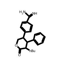 CCCCC1C(=O)OCC(c2ccc(C(=N)N)cc2)C1c1ccccc1